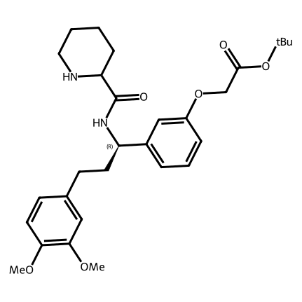 COc1ccc(CC[C@@H](NC(=O)C2CCCCN2)c2cccc(OCC(=O)OC(C)(C)C)c2)cc1OC